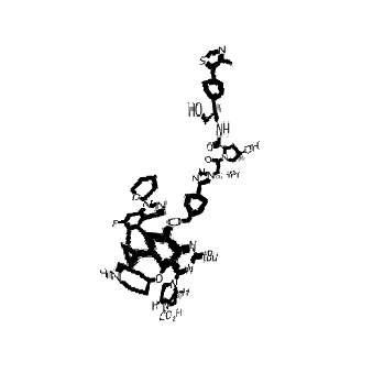 Cc1ncsc1-c1ccc([C@H](CO)NC(=O)[C@@H]2C[C@@H](O)CN2C(=O)[C@H](C(C)C)n2cc(-c3ccc(COc4c(-c5c(C)c(F)cc6c5cnn6C5CCCCO5)c(C5CC5)c(OC5CCNCC5)c5c(N6C[C@@H]7C[C@H]6CN7C(=O)O)nc(C(C)(C)C)nc45)cc3)nn2)cc1